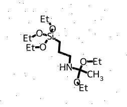 CCOC(C)(NCCC[Si](OCC)(OCC)OCC)OCC